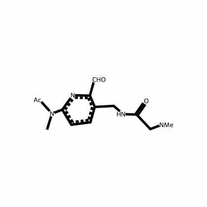 CNCC(=O)NCc1ccc(N(C)C(C)=O)nc1C=O